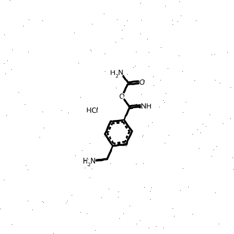 Cl.N=C(OC(N)=O)c1ccc(CN)cc1